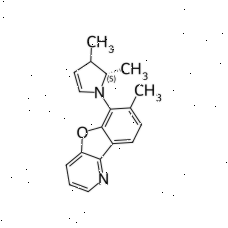 Cc1ccc2c(oc3cccnc32)c1N1C=CC(C)[C@@H]1C